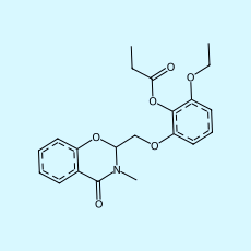 CCOc1cccc(OCC2Oc3ccccc3C(=O)N2C)c1OC(=O)CC